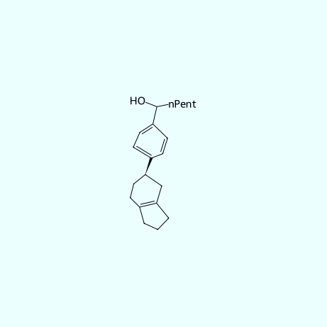 CCCCCC(O)c1ccc([C@@H]2CCC3=C(CCC3)C2)cc1